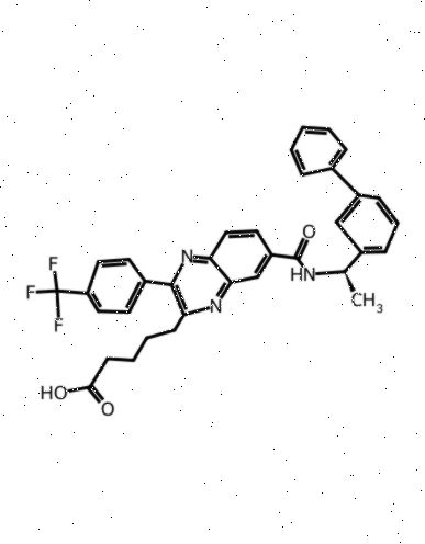 C[C@@H](NC(=O)c1ccc2nc(-c3ccc(C(F)(F)F)cc3)c(CCCCC(=O)O)nc2c1)c1cccc(-c2ccccc2)c1